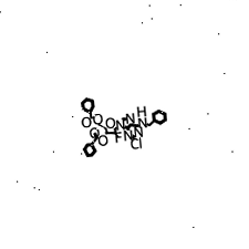 O=C(OC[C@H]1O[C@@H](n2cnc3c(NCc4ccccc4)nc(Cl)nc32)[C@@H](F)[C@@H]1OC(=O)c1ccccc1)c1ccccc1